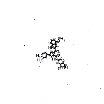 C=C/C=C(\C=C/C)[C@@H]1CC(C(=O)N[C@H](C=O)CC2CCNC2=O)N(C(=O)c2cc3c(OC)cccc3[nH]2)C1